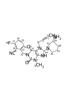 CC#CCN1c2c(n(C)c(=O)n(Cc3cccc(F)c3C#N)c2=O)NC1N1CCCC(N)C1